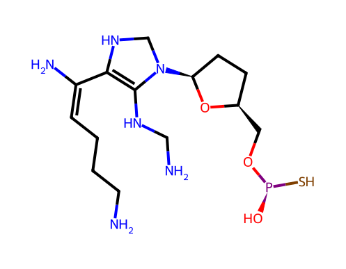 NCCC/C=C(/N)C1=C(NCN)N([C@H]2CC[C@@H](CO[P@](O)S)O2)CN1